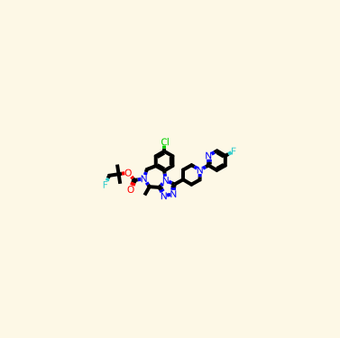 CC1c2nnc(C3CCN(c4ccc(F)cn4)CC3)n2-c2ccc(Cl)cc2CN1C(=O)OC(C)(C)CF